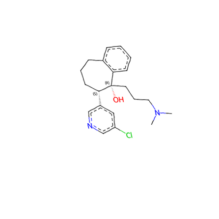 CN(C)CCC[C@]1(O)c2ccccc2CCC[C@H]1c1cncc(Cl)c1